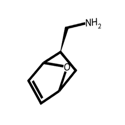 NC[C@H]1CC2C=CC1O2